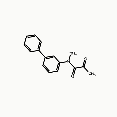 CC(=O)C(=O)N(N)c1cccc(-c2ccccc2)c1